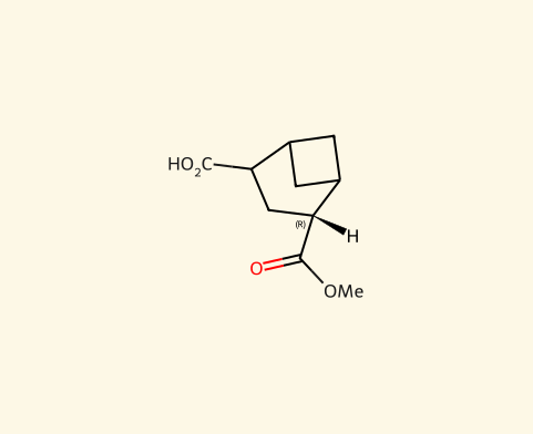 COC(=O)[C@@H]1CC(C(=O)O)C2CC1C2